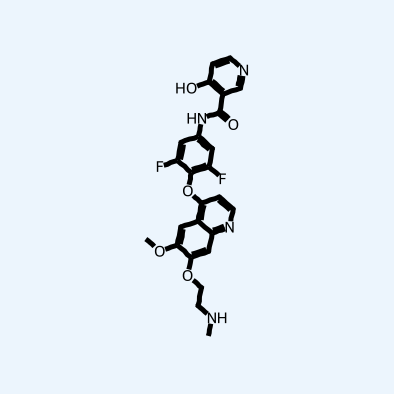 CNCCOc1cc2nccc(Oc3c(F)cc(NC(=O)c4cnccc4O)cc3F)c2cc1OC